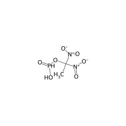 CC(O[PH](=O)O)([N+](=O)[O-])[N+](=O)[O-]